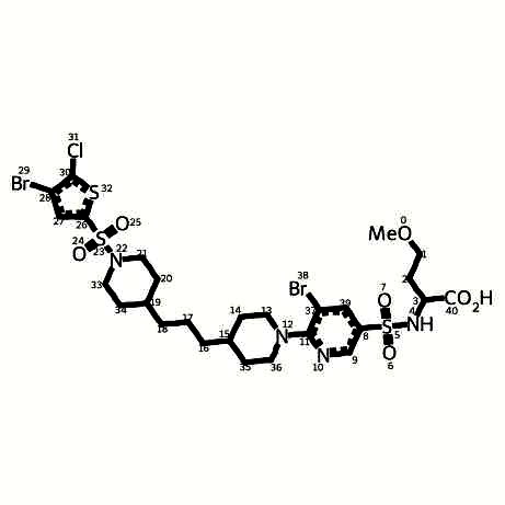 COCCC(NS(=O)(=O)c1cnc(N2CCC(CCCC3CCN(S(=O)(=O)c4cc(Br)c(Cl)s4)CC3)CC2)c(Br)c1)C(=O)O